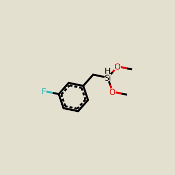 CO[SiH](Cc1cccc(F)c1)OC